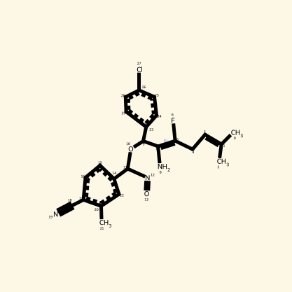 CC(C)=CC/C(F)=C(\N)C(OC(N=O)c1ccc(C#N)c(C)c1)c1ccc(Cl)cc1